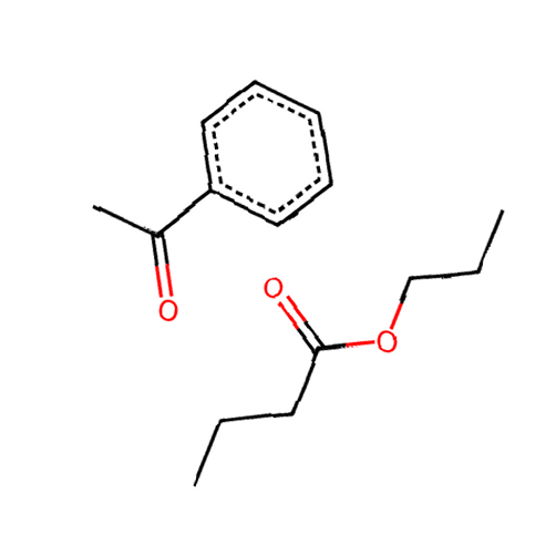 CC(=O)c1ccccc1.CCCOC(=O)CCC